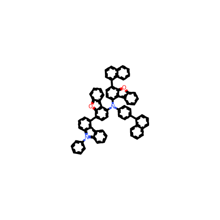 c1ccc(-n2c3ccccc3c3c(-c4ccc(N(c5ccc(-c6cccc7ccccc67)cc5)c5ccc(-c6cccc7ccccc67)c6oc7ccccc7c56)c5c4oc4ccccc45)cccc32)cc1